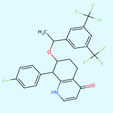 CC(OC1CCc2c([nH]ccc2=O)C1c1ccc(F)cc1)c1cc(C(F)(F)F)cc(C(F)(F)F)c1